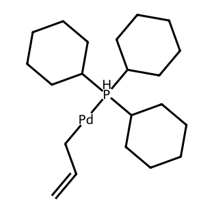 C=C[CH2][Pd][PH](C1CCCCC1)(C1CCCCC1)C1CCCCC1